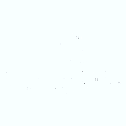 COc1ccccc1COCCCOc1ccc(N2CCN(C(=O)OC(C)(C)C)C[C@@H]2COc2ccc3c(c2)NCCC3)cc1